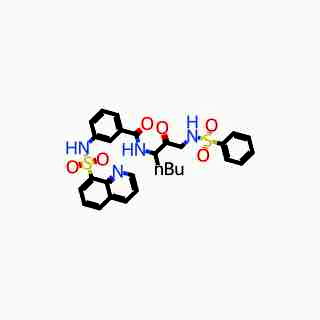 CCCCC(NC(=O)c1cccc(NS(=O)(=O)c2cccc3cccnc23)c1)C(=O)CNS(=O)(=O)c1ccccc1